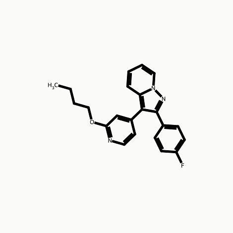 CCCCOc1cc(-c2c(-c3ccc(F)cc3)nn3ccccc23)ccn1